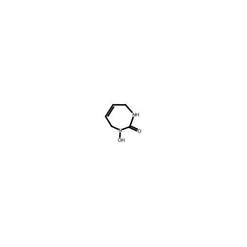 O=C1NCC=CCN1O